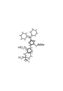 CNCc1nc(N(C2CCCCC2)C2CCCCC2)sc1-c1sc2c(c1C(=O)O)CC(C)(C)CC2